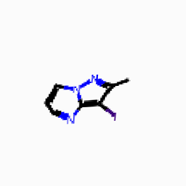 Cc1nn2cccnc2c1I